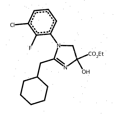 CCOC(=O)C1(O)CN(c2cccc(Cl)c2F)C(CC2CCCCC2)=N1